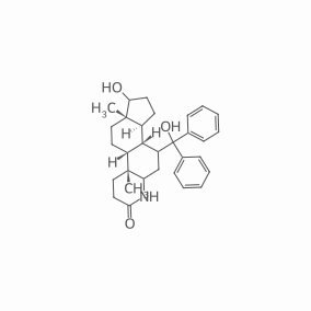 C[C@]12CCC(=O)NC1CC(C(O)(c1ccccc1)c1ccccc1)[C@@H]1[C@H]2CC[C@]2(C)C(O)CC[C@@H]12